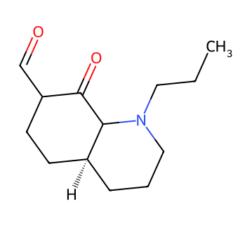 CCCN1CCC[C@H]2CCC(C=O)C(=O)C21